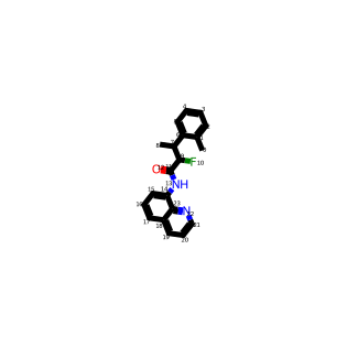 Cc1ccccc1C(C)C(F)C(=O)Nc1cccc2cccnc12